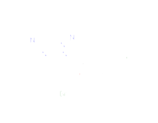 Cc1cn(-c2ccc(Br)cc2-n2nncc2C(=O)c2ccc(Cl)cc2)c(C)n1